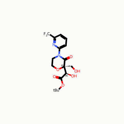 CC(C)(C)OC(=O)[C@H](O)[C@@]1(CO)OCCN(c2cccc(C(F)(F)F)n2)C1=O